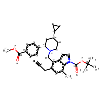 C#CCc1cc(C)c2c(ccn2C(=O)OC(C)(C)C)c1CN1CC[C@@H](C2CC2)C[C@H]1c1ccc(C(=O)OC)cc1